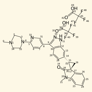 CN1CCN(c2ccc(-c3n[nH]c4cc([C@@H]5C[C@@]56C(=O)N(C)c5ccccc56)ccc34)cn2)CC1.O=C(O)C(F)(F)F.O=C(O)C(F)(F)F